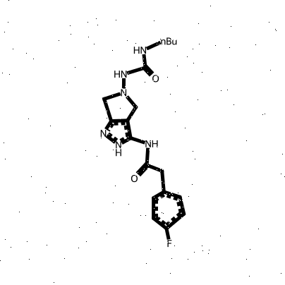 CCCCNC(=O)NN1Cc2n[nH]c(NC(=O)Cc3ccc(F)cc3)c2C1